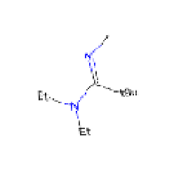 CCN(CC)C(=NC)C(C)(C)C